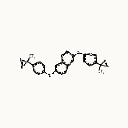 FC(F)(F)C1(c2ccc(Oc3ccc4cc(Oc5ccc(C6(C(F)(F)F)N=N6)cc5)ccc4c3)cc2)C=N1